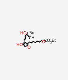 C#CC(O)(CC=C[C@H]1[C@H](O)CC(=O)[C@@H]1CCCCCCCOC(=O)OCC)CCCC